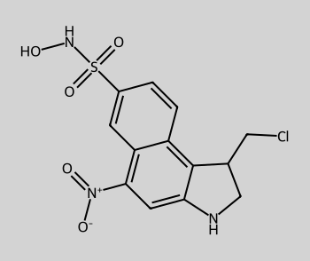 O=[N+]([O-])c1cc2c(c3ccc(S(=O)(=O)NO)cc13)C(CCl)CN2